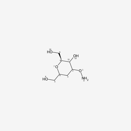 NOC1CC(CO)O[C@@H](CO)C1O